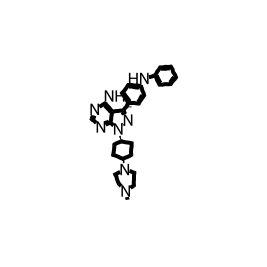 CN1CCN([C@H]2CC[C@@H](n3nc(-c4ccc(Nc5ccccc5)cc4)c4c(N)ncnc43)CC2)CC1